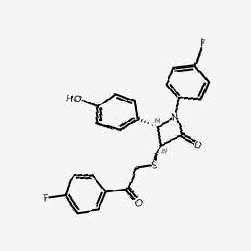 O=C(CS[C@@H]1C(=O)N(c2ccc(F)cc2)[C@H]1c1ccc(O)cc1)c1ccc(F)cc1